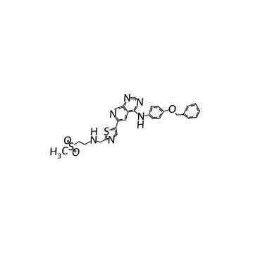 CS(=O)(=O)CCNCc1ncc(-c2cc3c(Nc4ccc(OCc5ccccc5)cc4)ncnc3cn2)s1